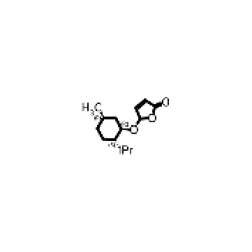 CC(C)[C@@H]1CC[C@@H](C)C[C@H]1OC1C=CC(=O)O1